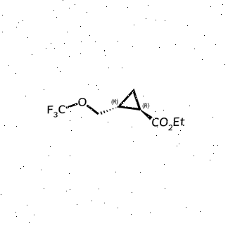 CCOC(=O)[C@@H]1C[C@H]1COC(F)(F)F